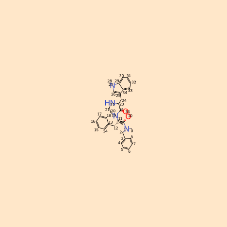 CN(Cc1ccccc1)C(=O)[C@H](Cc1ccccc1)N1CCNC(Cc2cn(C)c3ccccc23)C1=O